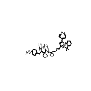 CC(C)(C)c1ccccc1-n1nc(CCCCC(=O)NC(=O)C(N)Cc2ccc(O)cc2)cc1-c1ccncc1